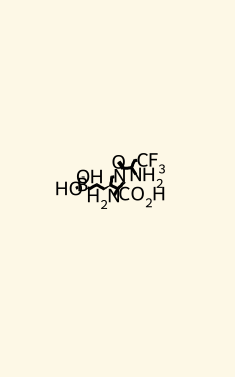 NC(CC(F)(F)F)C(=O)N1C[C@H](CCCB(O)O)[C@](N)(C(=O)O)C1